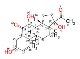 CC(=O)[C@@]1(O)CC[C@H]2[C@@H]3[C@H](O)C(=O)C4C[C@H](O)C=C[C@]4(C)[C@H]3CC[C@@]21C